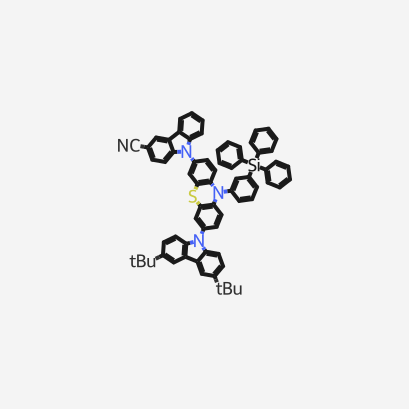 CC(C)(C)c1ccc2c(c1)c1cc(C(C)(C)C)ccc1n2-c1ccc2c(c1)Sc1cc(-n3c4ccccc4c4cc(C#N)ccc43)ccc1N2c1cccc([Si](c2ccccc2)(c2ccccc2)c2ccccc2)c1